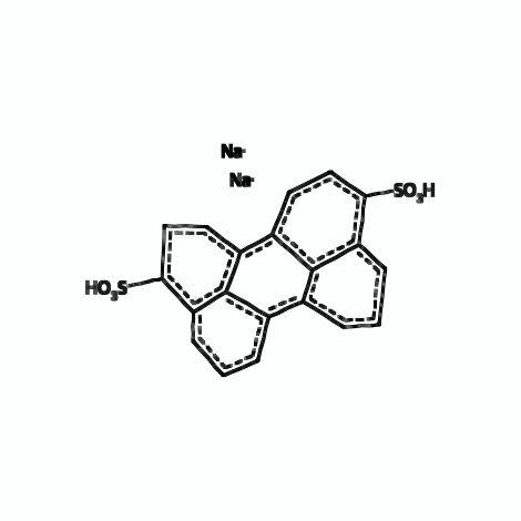 O=S(=O)(O)c1ccc2c3ccc(S(=O)(=O)O)c4cccc(c5cccc1c52)c43.[Na].[Na]